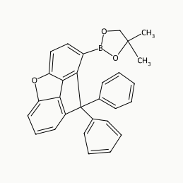 CC1(C)COB(c2ccc3oc4cccc5c4c3c2C5(c2ccccc2)c2ccccc2)O1